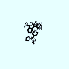 CCOC(C1CCN(c2ncnc3scc(-c4ccccc4C(=O)N(C)C)c23)CC1)N1CCCC1